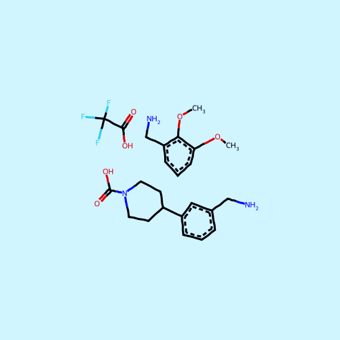 COc1cccc(CN)c1OC.NCc1cccc(C2CCN(C(=O)O)CC2)c1.O=C(O)C(F)(F)F